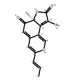 C/C=C/C1=CC2=CC(=O)[C@@]3(C)OC(=O)C(C(C)=O)=C3C2=CO1